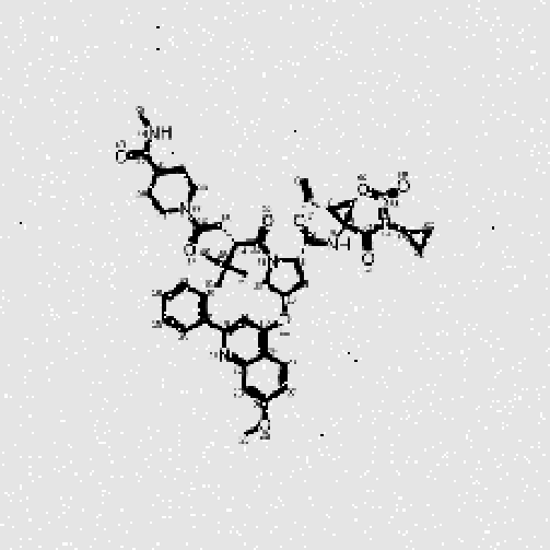 C=C[C@@H]1C[C@]1(NC(=O)[C@@H]1C[C@@H](Oc2cc(-c3ccccc3)nc3cc(OC)ccc23)CN1C(=O)[C@@H](CC(=O)N1CCC(C(=O)NC)CC1)C(C)(C)C)C(=O)N(C1CC1)[SH](=O)=O